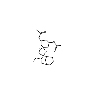 CCC1CC2CCCC(C2)C12OOC1(CC(OC(C)=O)CC(OC(C)=O)C1)O2